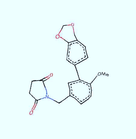 COc1ccc(CN2C(=O)CCC2=O)cc1-c1ccc2c(c1)OCO2